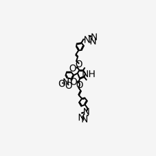 CC1=C(C(=O)OC/C=C/c2ccc(Cn3cnnc3)cc2)C(c2cccc([N+](=O)[O-])c2)C(C(=O)OC/C=C/c2ccc(Cn3cnnc3)cc2)=C(C)N1